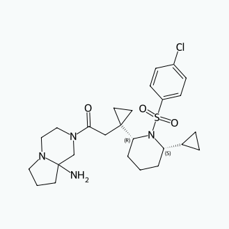 NC12CCCN1CCN(C(=O)CC1([C@H]3CCC[C@@H](C4CC4)N3S(=O)(=O)c3ccc(Cl)cc3)CC1)C2